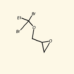 CCC(Br)(Br)OCC1CO1